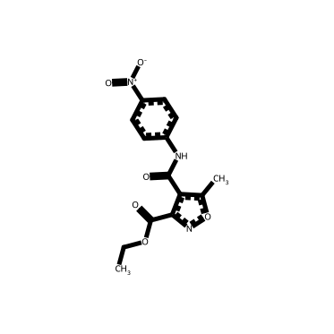 CCOC(=O)c1noc(C)c1C(=O)Nc1ccc([N+](=O)[O-])cc1